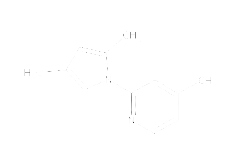 Cc1ccnc(-n2cc(C)cc2C)c1